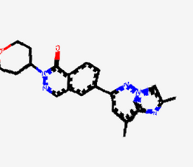 Cc1cn2nc(-c3ccc4c(=O)n(C5CCOCC5)ncc4c3)cc(C)c2n1